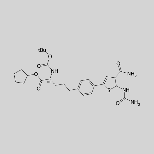 CC(C)(C)OC(=O)N[C@H](CCCc1ccc(C2=CC(C(N)=O)C(NC(N)=O)S2)cc1)C(=O)OC1CCCC1